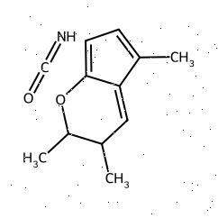 CC1=CC=C2OC(C)C(C)C=C12.N=C=O